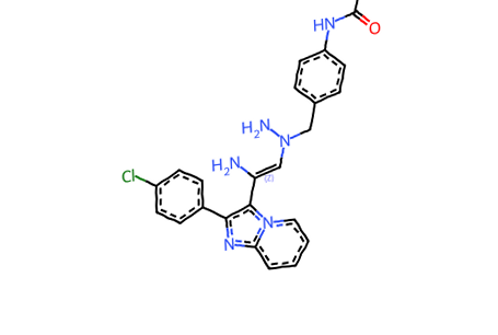 CC(=O)Nc1ccc(CN(N)/C=C(\N)c2c(-c3ccc(Cl)cc3)nc3ccccn23)cc1